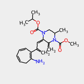 C=C(/C=C1\C(=C)N(C(=O)OC)C(C)CN1C(=O)OC(C)C)C1=C(N)CC=CC=C1